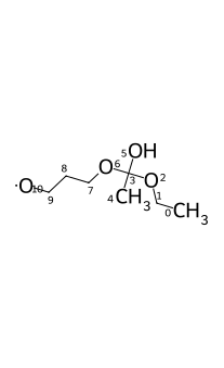 CCOC(C)(O)OCCC[O]